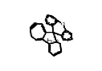 C1#CCC=C2C3=CC=CC[C@@H]3C3(C2=C1)c1ccccc1Oc1ccccc13